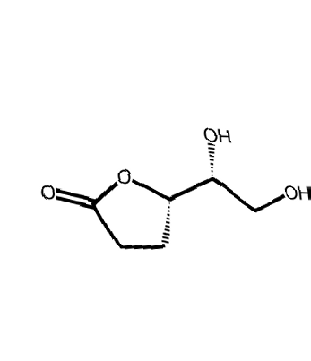 O=C1CC[C@@H]([C@H](O)CO)O1